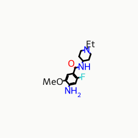 CCN1CCC(NC(=O)c2cc(OC)c(N)cc2F)CC1